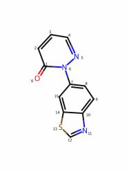 O=c1cccnn1-c1ccc2ncsc2c1